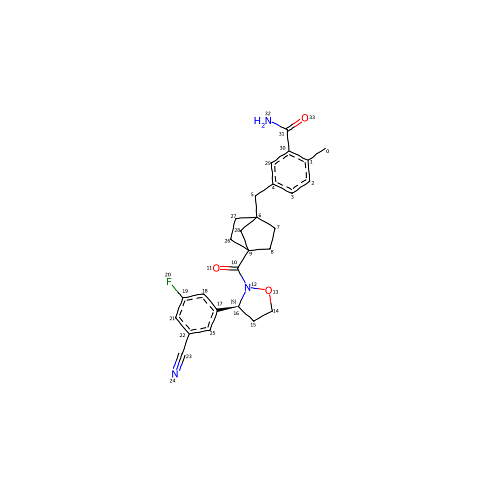 Cc1ccc(CC23CCC(C(=O)N4OCC[C@H]4c4cc(F)cc(C#N)c4)(CC2)C3)cc1C(N)=O